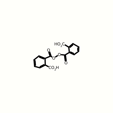 O=C(O)c1ccccc1C(=O)OOC(=O)c1ccccc1C(=O)O